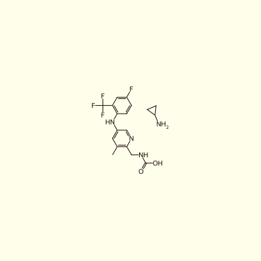 Cc1cc(Nc2ccc(F)cc2C(F)(F)F)cnc1CNC(=O)O.NC1CC1